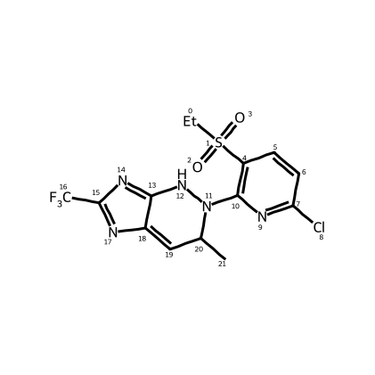 CCS(=O)(=O)c1ccc(Cl)nc1N1NC2=NC(C(F)(F)F)=NC2=CC1C